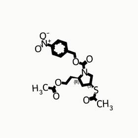 CC(=O)OCC[C@@H]1C[C@H](SC(C)=O)CN1C(=O)OCc1ccc([N+](=O)[O-])cc1